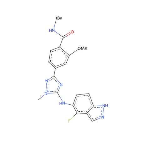 COc1cc(-c2nc(Nc3ccc4[nH]ncc4c3F)n(C)n2)ccc1C(=O)NC(C)(C)C